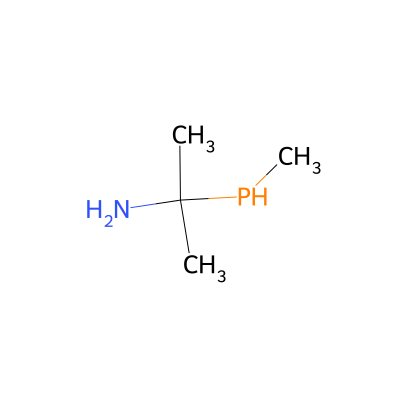 CPC(C)(C)N